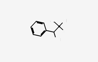 [CH2]C(c1ccccc1)C(Cl)(Cl)Cl